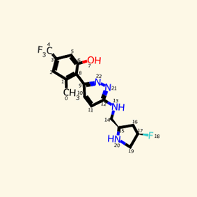 Cc1cc(C(F)(F)F)cc(O)c1-c1ccc(NC[C@H]2C[C@@H](F)CN2)nn1